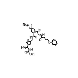 [N-]=[N+]=NC[C@@]1(F)C[C@@H](C(=O)NCc2cc(C(=N)NC(=O)O)cs2)N(C(=O)CNC(=O)CCCOc2ccccc2)C1